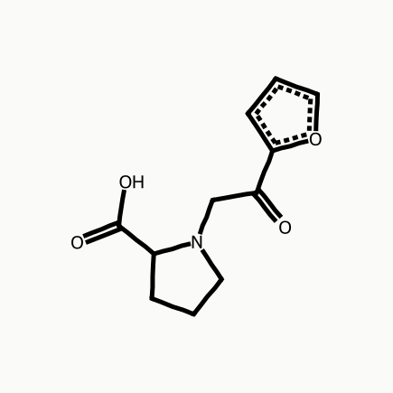 O=C(CN1CCCC1C(=O)O)c1ccco1